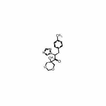 Cc1ccc(CC(C(=O)C2(C)COCOC2)n2cncn2)cc1